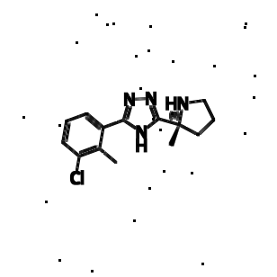 Cc1c(Cl)cccc1-c1nnc([C@@]2(C)CCCN2)[nH]1